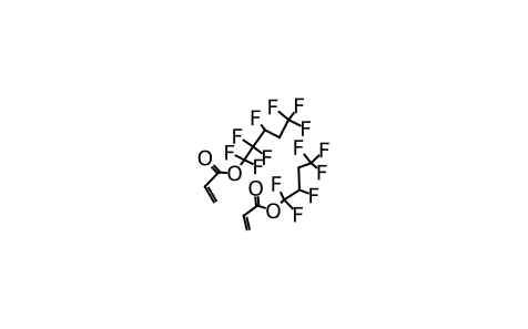 C=CC(=O)OC(F)(F)C(F)(F)C(F)CC(F)(F)F.C=CC(=O)OC(F)(F)C(F)CC(F)(F)F